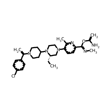 C=C(N)O/C(=N\C)c1ccc(N2CCN(C3CCN(C(=C)c4ccc(Cl)cc4)CC3)[C@@H](CC)C2)c(C)n1